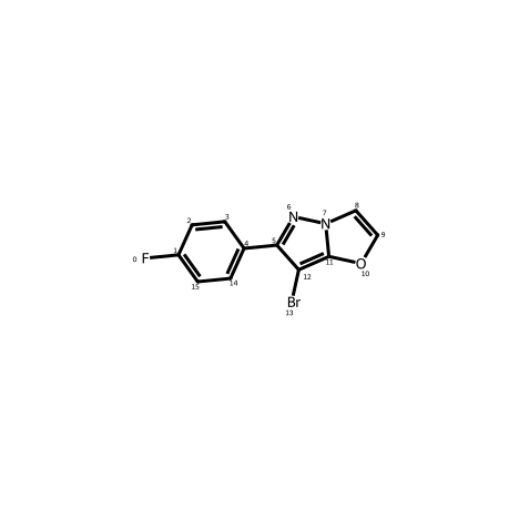 Fc1ccc(-c2nn3ccoc3c2Br)cc1